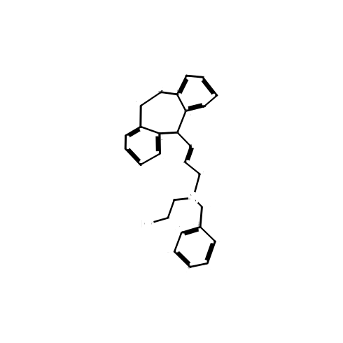 OCCN(CC=CC1c2ccccc2CCc2ccccc21)Cc1ccccc1